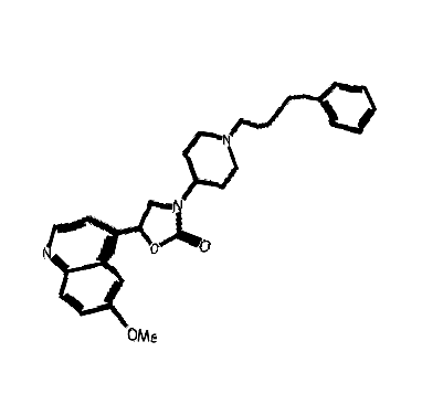 COc1ccc2nccc(C3CN(C4CCN(CCCc5ccccc5)CC4)C(=O)O3)c2c1